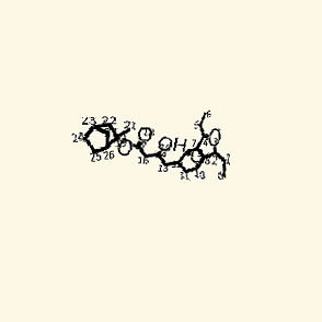 CCC1OC(CC)C2C3OC(CC3CC(O)CC(=O)OC3(C)CC4CCC3C4)C12